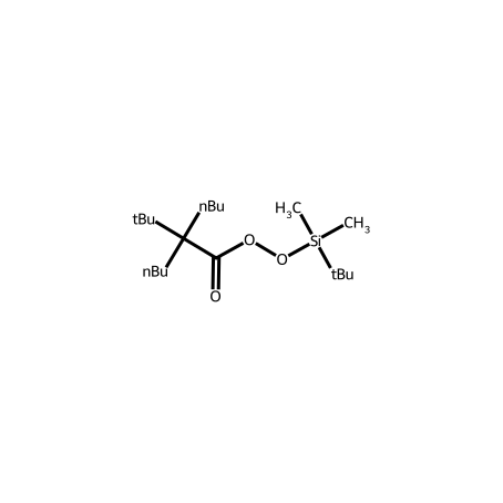 CCCCC(CCCC)(C(=O)OO[Si](C)(C)C(C)(C)C)C(C)(C)C